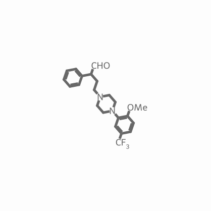 COc1ccc(C(F)(F)F)cc1N1CCN(CCC(C=O)c2ccccc2)CC1